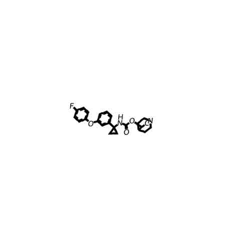 O=C(NC1(c2cccc(Oc3ccc(F)cc3)c2)CC1)OC1CN2CCC1CC2